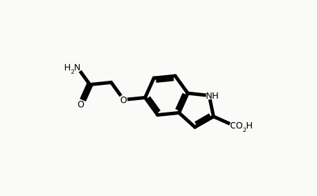 NC(=O)COc1ccc2[nH]c(C(=O)O)cc2c1